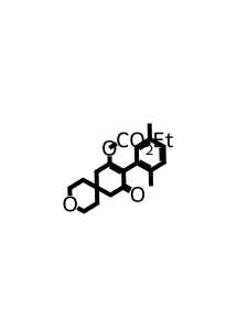 CCOC(=O)OC1=C(c2cc(C)ccc2C)C(=O)CC2(CCOCC2)C1